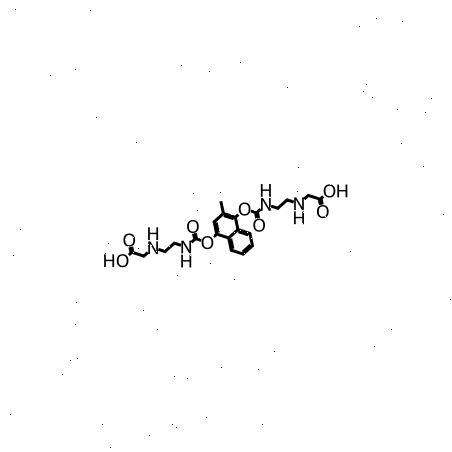 Cc1cc(OC(=O)NCCNCC(=O)O)c2ccccc2c1OC(=O)NCCNCC(=O)O